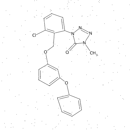 Cn1nnn(-c2cccc(Cl)c2COc2cccc(Oc3ccccc3)c2)c1=O